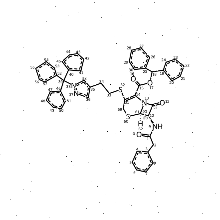 O=C(Cc1ccccc1)N[C@@H]1C(=O)N2C(C(=O)OC(c3ccccc3)c3ccccc3)=C(SCCc3cnn(C(c4ccccc4)(c4ccccc4)c4ccccc4)c3)CS[C@H]12